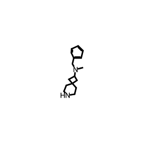 CN(Cc1ccccc1)C1CC2(CCNCC2)C1